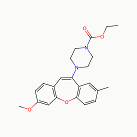 CCOC(=O)N1CCN(C2=Cc3ccc(OC)cc3Oc3ccc(C)cc32)CC1